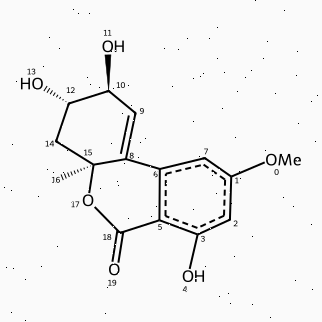 COc1cc(O)c2c(c1)C1=C[C@H](O)[C@@H](O)C[C@]1(C)OC2=O